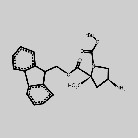 CC(C)(C)OC(=O)N1C[C@@H](N)C[C@]1(C(=O)O)C(=O)OCC1c2ccccc2-c2ccccc21